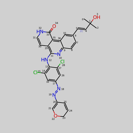 CC(C)(O)/C=C/c1ccc2nc(Nc3c(Cl)cc(N=NC4=COCC=C4)cc3Cl)c3cc[nH]c(=O)c3c2c1